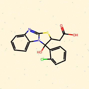 O=C(O)CC1Sc2nc3ccccc3n2C1(O)c1ccccc1Cl